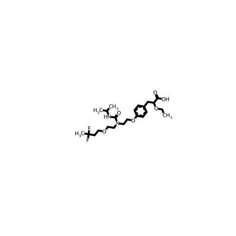 CCOC(Cc1ccc(OCCN(CCOCCC(C)(F)F)C(=O)NC(C)C)cc1)C(=O)O